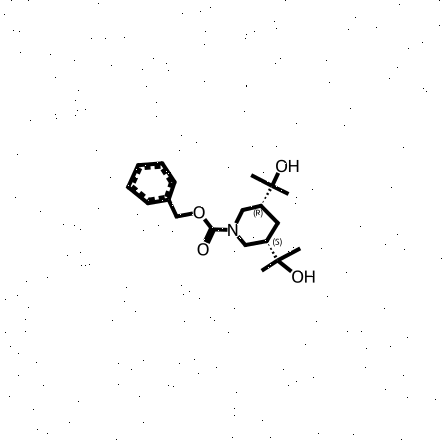 CC(C)(O)[C@@H]1C[C@H](C(C)(C)O)CN(C(=O)OCc2ccccc2)C1